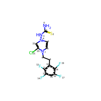 NC(=S)NN1C=CN(CCc2c(F)c(F)cc(F)c2F)C(Cl)=C1